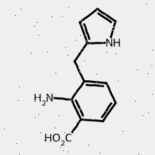 Nc1c(Cc2ccc[nH]2)cccc1C(=O)O